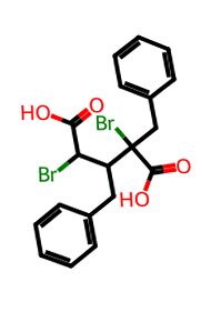 O=C(O)C(Br)C(Cc1ccccc1)C(Br)(Cc1ccccc1)C(=O)O